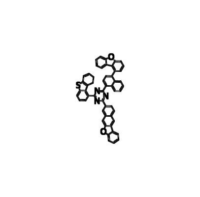 C1=Cc2sc3cccc(-c4nc(-c5ccc6cc7c(cc6c5)oc5ccccc57)nc(-c5ccc(-c6cccc7oc8ccccc8c67)c6ccccc56)n4)c3c2CC1